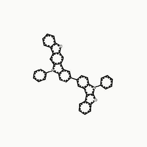 c1ccc(-n2c3ccc(-c4ccc5c(c4)c4c6ccccc6oc4n5-c4ccccc4)cc3c3cc4oc5ccccc5c4cc32)cc1